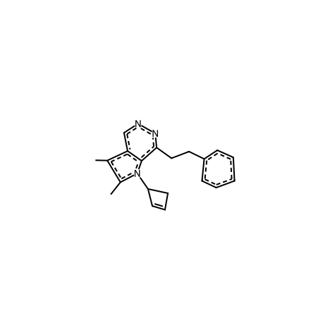 Cc1c(C)n(C2C=CC2)c2c(CCc3ccccc3)nncc12